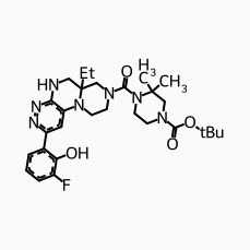 CCC12CNc3nnc(-c4cccc(F)c4O)cc3N1CCN(C(=O)N1CCN(C(=O)OC(C)(C)C)CC1(C)C)C2